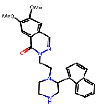 COc1cc2cnn(CCN3CCNCC3c3cccc4ccccc34)c(=O)c2cc1OC